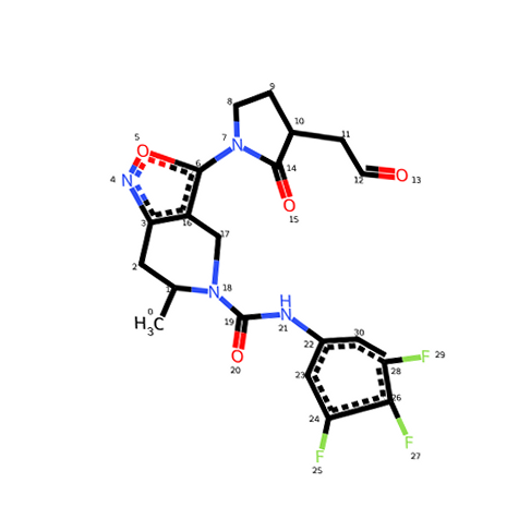 CC1Cc2noc(N3CCC(CC=O)C3=O)c2CN1C(=O)Nc1cc(F)c(F)c(F)c1